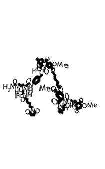 C=C1C[C@H]2C(O)N(C(=O)OCc3ccc(NC(=O)[C@H](CCCNC(N)=O)NC(=O)[C@@H](NC(=O)CCCCCN4C(=O)C=CC4=O)C(C)C)cc3)c3cc(OCCCCCOc4cc5c(cc4OC)C(=O)N4CC(C)(C)C[C@H]4C(O)N5C(=O)OCc4cc5c(n4C)C(=O)C=C(OC)C5=O)c(OC)cc3C(=O)N2C1